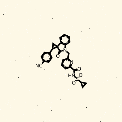 N#Cc1ccc(C2CC23C(=O)N(Cc2cccc(C(=O)NS(=O)(=O)C4CC4)n2)c2ccccc23)cc1